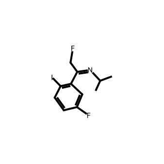 CC(C)/N=C(/CF)c1cc(F)ccc1I